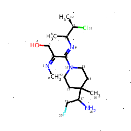 C/N=C(CO)\C(=N/C(C)[C@@H](C)Cl)N1CCC(C)(C(N)CF)CC1